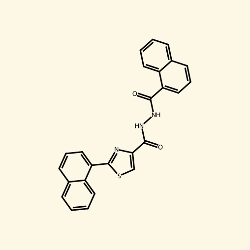 O=C(NNC(=O)c1cccc2ccccc12)c1csc(-c2cccc3ccccc23)n1